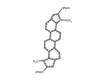 CCCCCc1cc2ccc3c4ccc5c(ccc6cc(CCCCC)n(C)c65)c4ccc3c2n1C